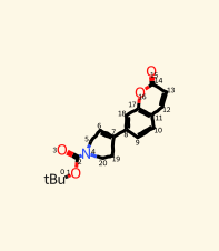 CC(C)(C)OC(=O)N1CC=C(c2ccc3ccc(=O)oc3c2)CC1